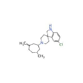 C=C1CCC(C)CC(N2CCC3(CC2)CNc2ccc(Cl)cc23)C1